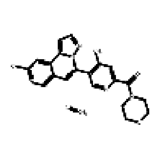 C=O.Cc1cc(C(=O)N2CCOCC2)ncc1-c1cc2cnc(Cl)cc2c2ccnn12